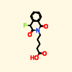 O=C(O)CCCCN1C(=O)c2ccccc2C(F)C1=O